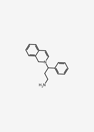 NCCC(c1ccccc1)N1C=Cc2ccccc2C1